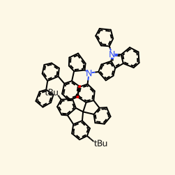 CC(C)(C)c1ccc2c(c1)C1(c3ccccc3-c3cc(N(c4ccc5c6ccccc6n(-c6ccccc6)c5c4)c4ccccc4-c4ccccc4-c4ccccc4-c4ccccc4)ccc31)c1cc(C(C)(C)C)ccc1-2